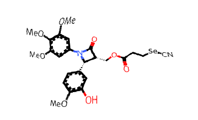 COc1ccc([C@H]2[C@@H](COC(=O)CC[Se]C#N)C(=O)N2c2cc(OC)c(OC)c(OC)c2)cc1O